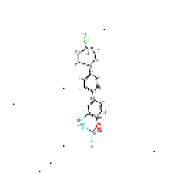 Fc1cc(-c2ccc(C3CC[SiH](Cl)CC3)cc2)ccc1OC(F)F